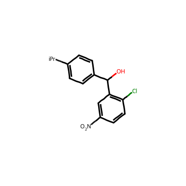 CC(C)c1ccc(C(O)c2cc([N+](=O)[O-])ccc2Cl)cc1